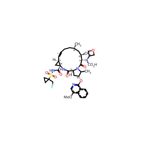 COc1cnc(O[C@@H]2C[C@H]3C(=O)N[C@]4(C(=O)NS(=O)(=O)C5(CF)CC5)C[C@H]4/C=C\CC[C@@H](C)C[C@@H](C)[C@H](N(C(=O)O)C4COC4)C(=O)N3C2C)c2ccccc12